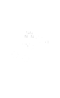 [O-][n+]1cc(-c2cc(Cl)ccc2-n2cnnn2)ccc1[C@@H](Cc1ccccc1)c1cccc(C2CCCCC2)c1